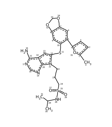 Cc1ccc(-c2cc3c(cc2Sc2nc4c(N)ncnc4n2CCCS(=O)(=O)NC(C)C)OCO3)o1